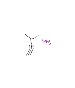 C#CC(C)C.P